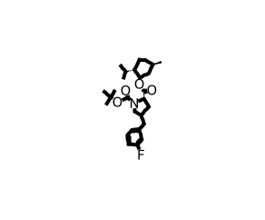 CC(C)[C@@H]1CC[C@@H](C)C[C@H]1OC(=O)[C@@H]1CC(Cc2cccc(F)c2)CN1C(=O)OC(C)(C)C